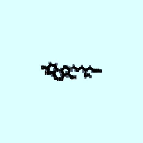 COC[C@H](N)COC[C@H]1O[C@@H](n2ccc(=O)[nH]c2=O)[C@H](O)[C@@H]1O